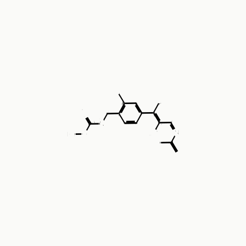 C=C(Cl)/N=C\C(CC)=C(/C)c1ccc(CNC(=O)OC(C)(C)C)c(C)c1